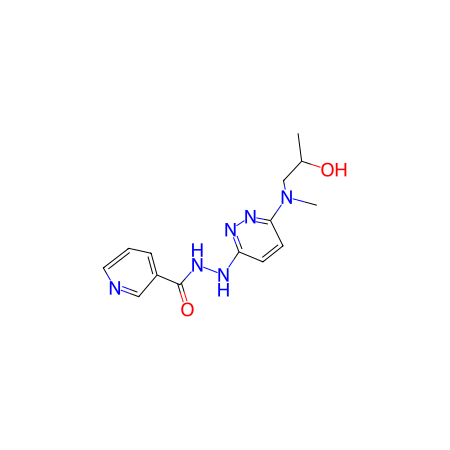 CC(O)CN(C)c1ccc(NNC(=O)c2cccnc2)nn1